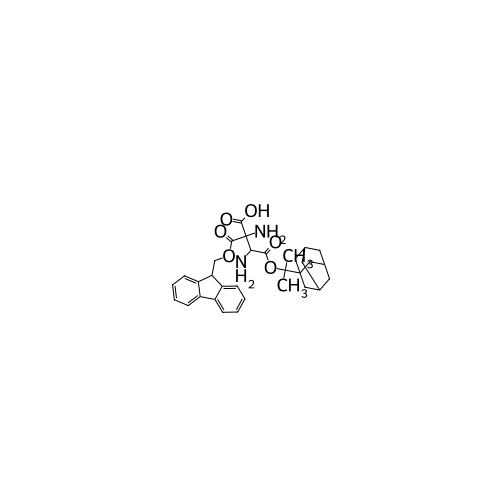 CC(C)(OC(=O)C(N)C(N)(C(=O)O)C(=O)OCC1c2ccccc2-c2ccccc21)C12CC3CC(CC(C3)C1)C2